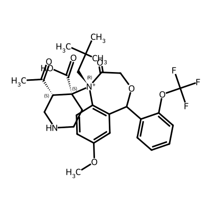 COc1ccc2c(c1)C(c1ccccc1OC(F)(F)F)OCC(=O)[N@@+]2(CC(C)(C)C)[C@@]1(C(=O)O)CCNC[C@@H]1C(C)=O